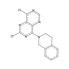 Clc1nc(N2CCc3ccccc3C2)c2ncnc(Cl)c2n1